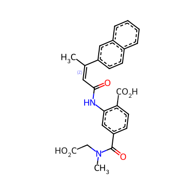 C/C(=C/C(=O)Nc1cc(C(=O)N(C)CC(=O)O)ccc1C(=O)O)c1ccc2ccccc2c1